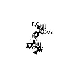 COCC(c1ccnc(NC(=O)[C@@H](NC(=O)c2conc2C2CC2)C2CCC(C)CC2)c1)N1C[C@@H](C(F)(F)F)NC1=O